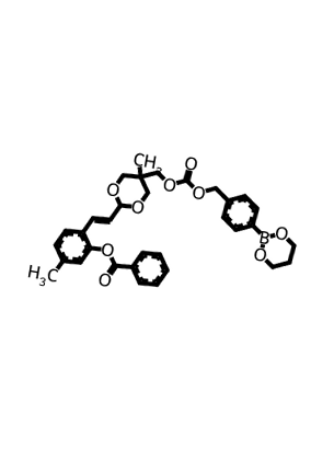 Cc1ccc(/C=C/C2OCC(C)(COC(=O)OCc3ccc(B4OCCCO4)cc3)CO2)c(OC(=O)c2ccccc2)c1